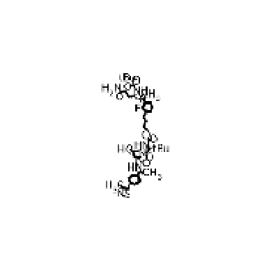 Cc1ncsc1-c1ccc([C@H](C)NC(=O)[C@@H]2C[C@@H](O)CN2C(=O)[C@@H](NC(=O)OCCCCc2cccc(N(C)C[C@H](CCC(N)=O)NC(=O)OC(C)(C)C)c2F)C(C)(C)C)cc1